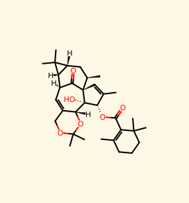 CC1=C[C@]23C(=O)[C@@H](C=C4COC(C)(C)O[C@H]4[C@]2(O)[C@H]1OC(=O)C1=C(C)CCCC1(C)C)[C@H]1[C@@H](C[C@H]3C)C1(C)C